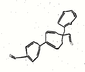 O=Cc1ccc(C2=CCC(C=O)(c3ccccc3)C=C2)cc1